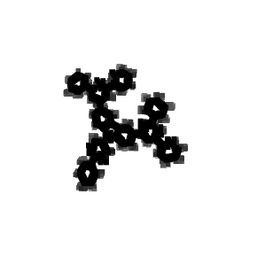 c1ccc(-c2cc(-c3ccc4c(c3)c3cc(-c5cc(-c6ccccn6)nc(-c6ccccc6)n5)ccc3n4-c3cnc(-c4ccccc4)nc3)cc(-c3ccccn3)n2)cc1